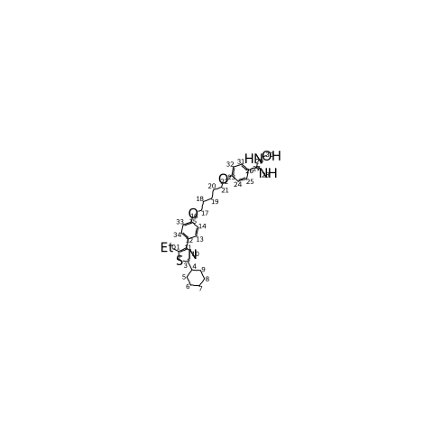 CCc1sc(C2CCCCC2)nc1-c1ccc(OCCCCCOc2ccc(C(=N)NO)cc2)cc1